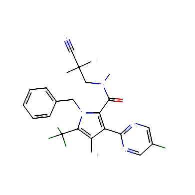 Cc1c(-c2ncc(Cl)cn2)c(C(=O)N(C)CC(C)(C)C#N)n(Cc2ccccc2)c1C(F)(F)F